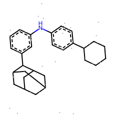 c1cc(Nc2ccc(C3CCCCC3)cc2)cc(C2C3CC4CC(C3)CC2C4)c1